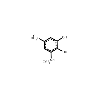 O=C(O)c1cc(O)c(O)c(O)c1.[CaH2].[Y]